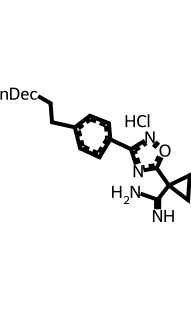 CCCCCCCCCCCCc1ccc(-c2noc(C3(C(=N)N)CC3)n2)cc1.Cl